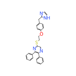 c1ccc(-c2ncc(SCCOc3ccc(Cc4ncc[nH]4)cc3)nc2-c2ccccc2)cc1